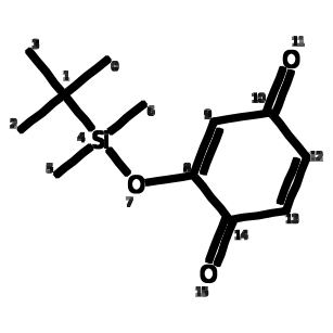 CC(C)(C)[Si](C)(C)OC1=CC(=O)C=CC1=O